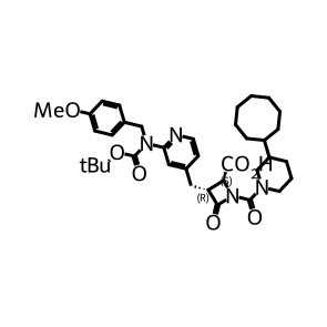 COc1ccc(CN(C(=O)OC(C)(C)C)c2cc(C[C@H]3C(=O)N(C(=O)N4CCCC(C5CCCCCCC5)C4)[C@@H]3C(=O)O)ccn2)cc1